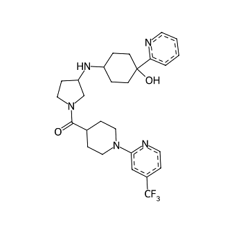 O=C(C1CCN(c2cc(C(F)(F)F)ccn2)CC1)N1CCC(NC2CCC(O)(c3ccccn3)CC2)C1